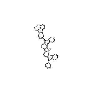 c1ccc(-n2c3ccccc3c3c4oc5c(ccc6c5c5ccccc5n6-c5ccc6c(c5)-c5cccc7cccc-6c57)c4ccc32)cc1